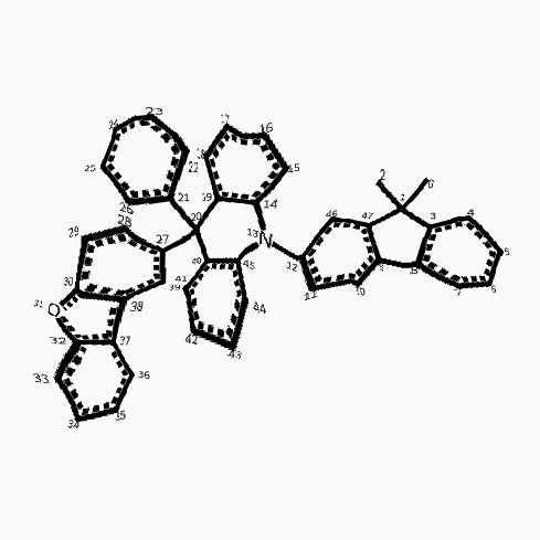 CC1(C)c2ccccc2-c2ccc(N3c4ccccc4C(c4ccccc4)(c4ccc5oc6ccccc6c5c4)c4ccccc43)cc21